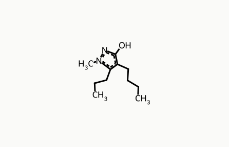 CCCCc1c(O)nn(C)c1CCC